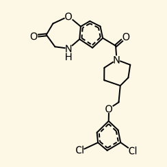 O=C1CNc2cc(C(=O)N3CCC(COc4cc(Cl)cc(Cl)c4)CC3)ccc2OC1